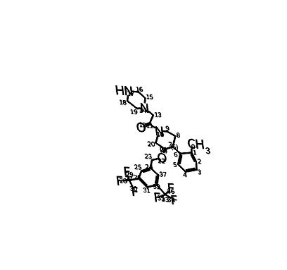 Cc1ccccc1[C@@H]1CCN(C(=O)CN2CCNCC2)C[C@@H]1OCc1cc(C(F)(F)F)cc(C(F)(F)F)c1